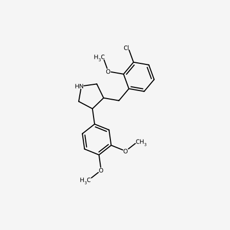 COc1ccc(C2CNCC2Cc2cccc(Cl)c2OC)cc1OC